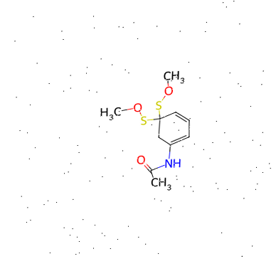 COSC1(SOC)C=CC=C(NC(C)=O)C1